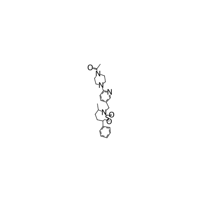 CC(=O)N1CCN(c2ccc(CN3C(C)CCC(c4ccccc4)S3(=O)=O)cn2)CC1